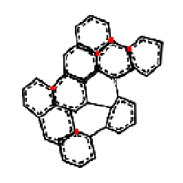 c1ccc(-c2ccccc2-c2c(-c3ccccc3)cccc2N(c2cccc(-c3cccc4ccccc34)c2)c2ccccc2-c2ccccc2)cc1